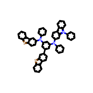 c1ccc(N(c2cc(-c3ccc4c(c3)sc3ccccc34)cc(N(c3ccccc3)c3ccc4c5ccccc5n(-c5ccccc5)c4c3)c2)c2ccc3sc4ccccc4c3c2)cc1